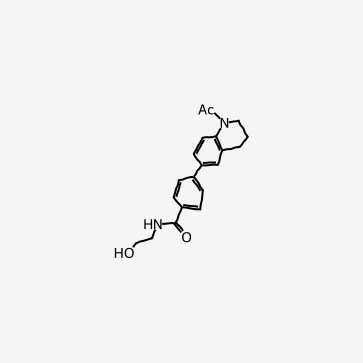 CC(=O)N1CCCc2cc(-c3ccc(C(=O)NCCO)cc3)ccc21